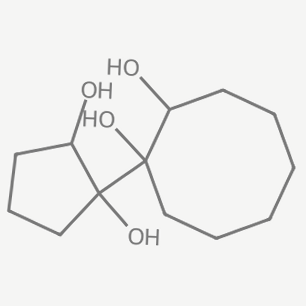 OC1CCCCCCC1(O)C1(O)CCCC1O